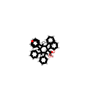 CC1(c2ccccc2)C(c2ccccc2)C(C(=O)O)(c2ccccc2)C(C)(c2ccccc2)C(C)(c2ccccc2)C1(C)c1ccccc1